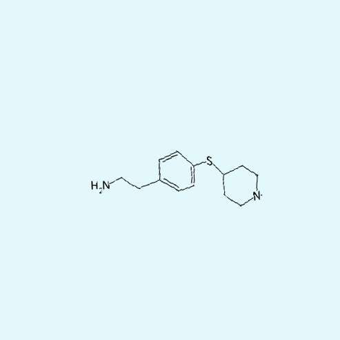 NCCc1ccc(SC2CC[N]CC2)cc1